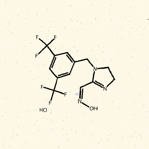 Cl.O/N=C\C1=NCCN1Cc1cc(C(F)(F)F)cc(C(F)(F)F)c1